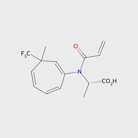 C=CC(=O)N(C1=CC(C)(C(F)(F)F)C=CC=C1)[C@@H](C)C(=O)O